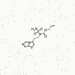 C=CCOC(=O)N(CCc1csc2cncn12)S(N)(=O)=O